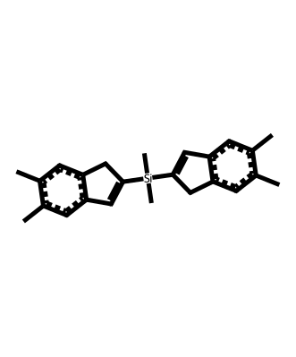 Cc1cc2c(cc1C)CC([Si](C)(C)C1=Cc3cc(C)c(C)cc3C1)=C2